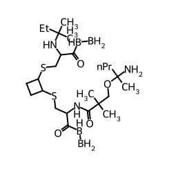 BBC(=O)C(CSC1CCC1SCC(NC(C)(C)CC)C(=O)BB)NC(=O)C(C)(C)COC(C)(N)CCC